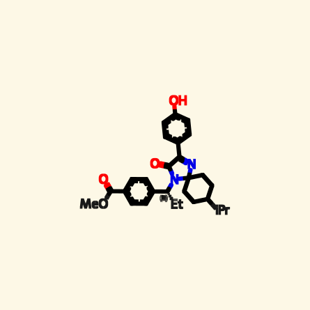 CC[C@H](c1ccc(C(=O)OC)cc1)N1C(=O)C(c2ccc(O)cc2)=NC12CCC(C(C)C)CC2